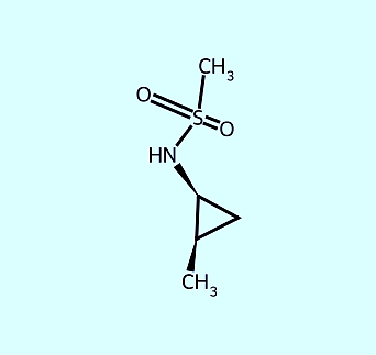 C[C@@H]1C[C@@H]1NS(C)(=O)=O